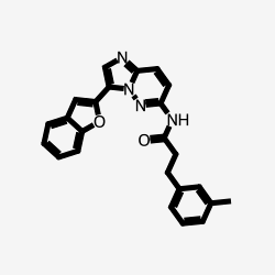 Cc1cccc(CCC(=O)Nc2ccc3ncc(-c4cc5ccccc5o4)n3n2)c1